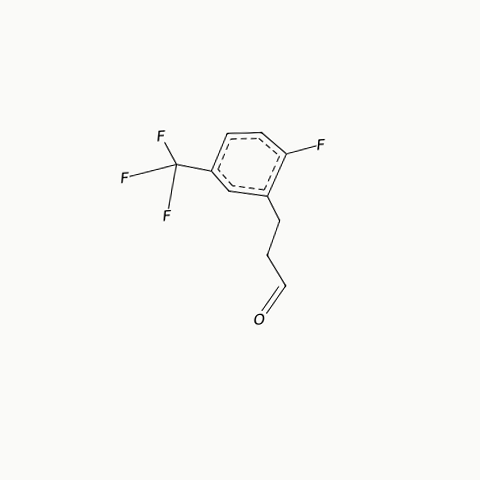 O=CCCc1cc(C(F)(F)F)ccc1F